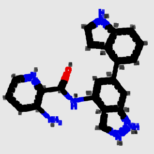 Nc1cccnc1C(=O)Nc1cc(-c2cccc3[nH]ccc23)cc2[nH]ncc12